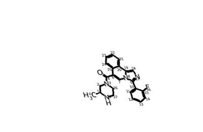 C[C@H]1CN(C(=O)c2cn3c(-c4ccccc4F)ncc3c3ccccc23)CCN1